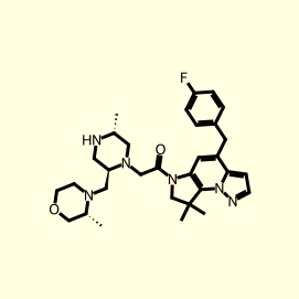 C[C@@H]1CN(CC(=O)N2CC(C)(C)c3c2cc(Cc2ccc(F)cc2)c2ccnn32)[C@@H](CN2CCOC[C@H]2C)CN1